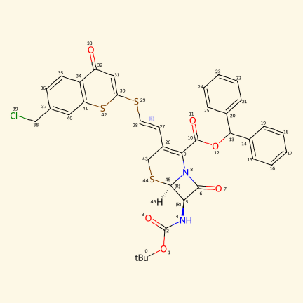 CC(C)(C)OC(=O)N[C@@H]1C(=O)N2C(C(=O)OC(c3ccccc3)c3ccccc3)=C(/C=C/Sc3cc(=O)c4ccc(CCl)cc4s3)CS[C@H]12